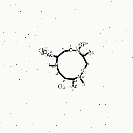 CC(=O)C1CC[N]([Ti+3])C(C(C)=O)CCN(C)C(C(C)=O)CCN1C.[Cl-].[Cl-].[Cl-]